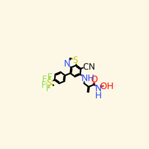 C=C(CNc1cc(-c2ccc(S(C)(F)(F)(F)F)cc2)c2ncsc2c1C#N)C(=O)NO